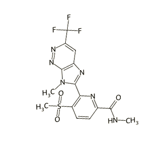 CNC(=O)c1ccc(S(C)(=O)=O)c(-c2nc3cc(C(F)(F)F)nnc3n2C)n1